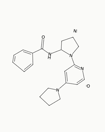 O=C(NC1CCCN1c1cc(N2CCCC2)ccn1)c1ccccc1.[N].[O]